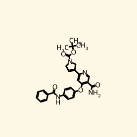 CC(C)(C)OC(=O)N1CC=C(c2cc(Oc3ccc(NC(=O)c4ccccc4)cc3)c(C(N)=O)cn2)C1